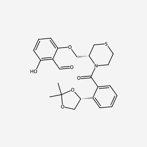 CC1(C)OC[C@@H](c2ccccc2C(=O)N2CCSC[C@H]2COc2cccc(O)c2C=O)O1